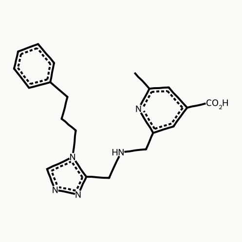 Cc1cc(C(=O)O)cc(CNCc2nncn2CCCc2ccccc2)n1